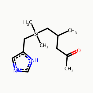 CC(=O)CC(C)C[Si](C)(C)Cc1cnc[nH]1